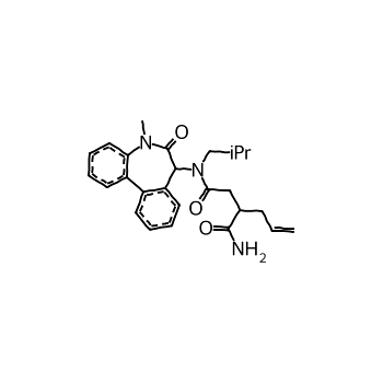 C=CCC(CC(=O)N(CC(C)C)C1C(=O)N(C)c2ccccc2-c2ccccc21)C(N)=O